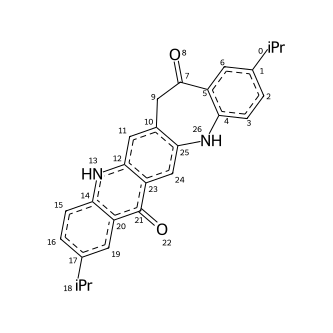 CC(C)c1ccc2c(c1)C(=O)Cc1cc3[nH]c4ccc(C(C)C)cc4c(=O)c3cc1N2